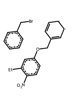 BrCc1ccccc1.CCc1cc(OCC2=C[C][C]C=C2)ccc1[N+](=O)[O-]